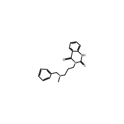 CN(CCCn1c(=S)[nH]c2ccccc2c1=O)Cc1ccccc1